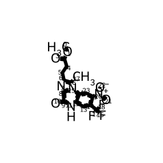 COC(=O)CCc1nc2c(=O)[nH]c3cc(C(F)(F)F)c([N+](=O)[O-])cc3n2c1C